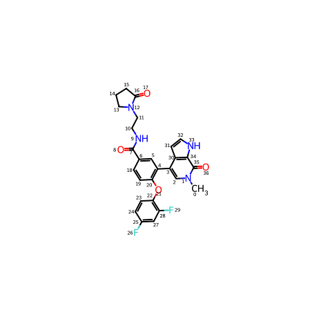 Cn1cc(-c2cc(C(=O)NCCN3CCCC3=O)ccc2Oc2ccc(F)cc2F)c2cc[nH]c2c1=O